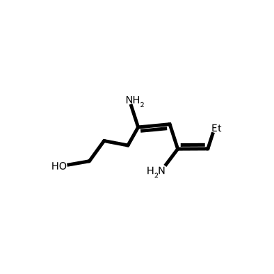 CC/C=C(N)\C=C(\N)CCCO